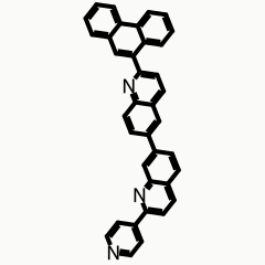 c1ccc2c(c1)cc(-c1ccc3cc(-c4ccc5ccc(-c6ccncc6)nc5c4)ccc3n1)c1ccccc12